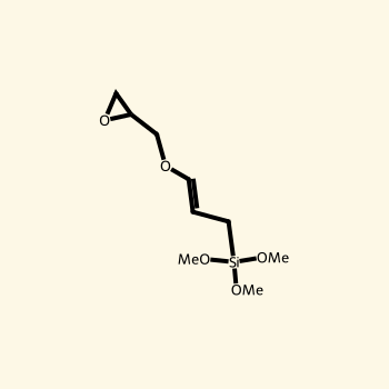 CO[Si](CC=COCC1CO1)(OC)OC